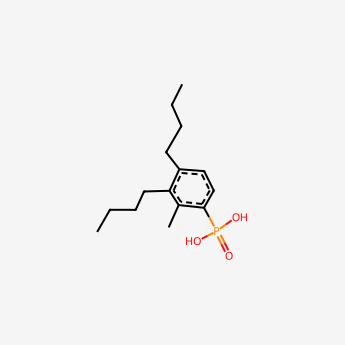 CCCCc1ccc(P(=O)(O)O)c(C)c1CCCC